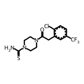 NC(=S)N1CCN(C(=O)Cc2cc(C(F)(F)F)ccc2Cl)CC1